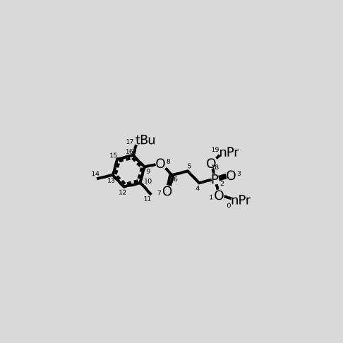 CCCOP(=O)(CCC(=O)Oc1c(C)cc(C)cc1C(C)(C)C)OCCC